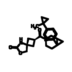 CC1(c2ccc(C34CCN(C(=O)[C@H]5C[C@]6(COC(=O)N6)C5)CC3C4)cc2)CC1